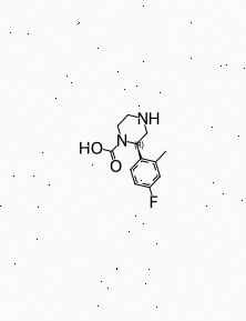 Cc1cc(F)ccc1[C@@H]1CNCCN1C(=O)O